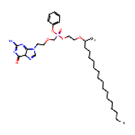 CCCCCCCCCCCCCCCCC(C)OCCOP(=O)(COCCN1C=NC2C(=O)N=C(N)N=C21)Oc1ccccc1